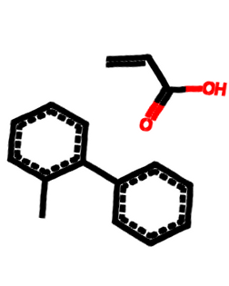 C=CC(=O)O.Cc1ccccc1-c1ccccc1